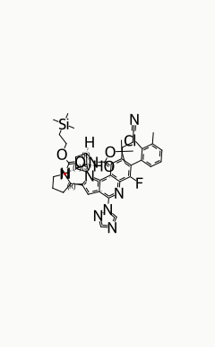 Cc1cccc(-c2c(CCC#N)cc3c(nc(-n4cncn4)c4cc([C@H]5CCCN5C(=O)OCC[Si](C)(C)C)n([C@H]5[C@@H]6C[C@H]5N(C(=O)OC(C)(C)C)C6)c43)c2F)c1Cl